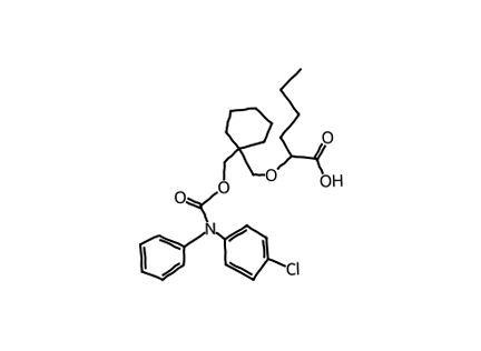 CCCCC(OCC1(COC(=O)N(c2ccccc2)c2ccc(Cl)cc2)CCCCC1)C(=O)O